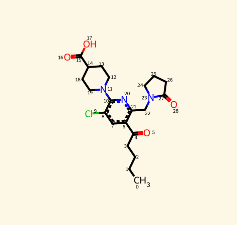 CCCCC(=O)c1cc(Cl)c(N2CCC(C(=O)O)CC2)nc1CN1CCCC1=O